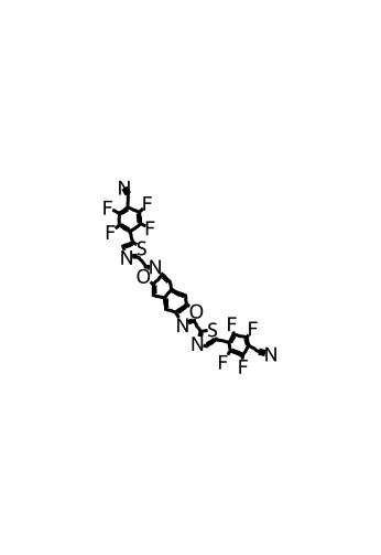 N#Cc1c(F)c(F)c(-c2cnc(-c3nc4cc5cc6oc(-c7ncc(-c8c(F)c(F)c(C#N)c(F)c8F)s7)nc6cc5cc4o3)s2)c(F)c1F